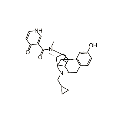 C[C@H]1CC23CCC(N(C)C(=O)c4c[nH]ccc4=O)C1C21CCN(CC2CC2)C3Cc2ccc(O)cc21